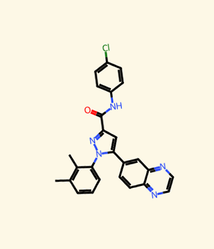 Cc1cccc(-n2nc(C(=O)Nc3ccc(Cl)cc3)cc2-c2ccc3nccnc3c2)c1C